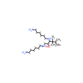 CCCCC(C)C(C)(C)C(NCCCCCCN)C(O)CNCCCCCCN